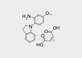 COc1ccc(N2CCc3ccccc32)c(N)c1.O=C(O)/C=C\C(=O)O